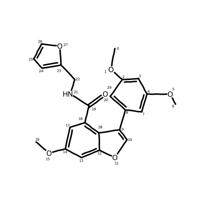 COc1cc(OC)cc(-c2coc3cc(OC)cc(C(=O)NCc4ccco4)c23)c1